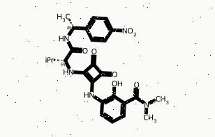 CC(C)[C@@H](Nc1c(Nc2cccc(C(=O)N(C)C)c2O)c(=O)c1=O)C(=O)N[C@H](C)c1ccc([N+](=O)[O-])cc1